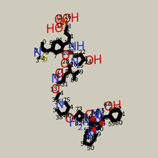 Cc1ncsc1-c1ccc(C(CCCP(=O)(O)O)NC(=O)[C@@H]2C[C@@H](O)CN2C(=O)[C@H](c2cc(OCCN3CCC(OC4CC(Oc5cc(N6C7CCC6CN(c6cc(-c8ccccc8O)nnc6N)C7)ccn5)C4)CC3)no2)C(C)C)cc1